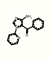 Nc1ncn(-c2ccccn2)c1C(=O)c1ccccc1